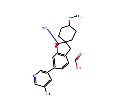 COC1CCC2(CC1)Cc1ccc(-c3cncc(C)c3)cc1[C@@]21COC(N)=N1.O=CO